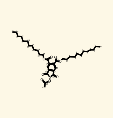 CCCCCCCCCCCCOC(=O)c1cc2c(cc1C(=O)OCCCCCCCCCCCC)C(=O)N(OC(C)=O)C2=O